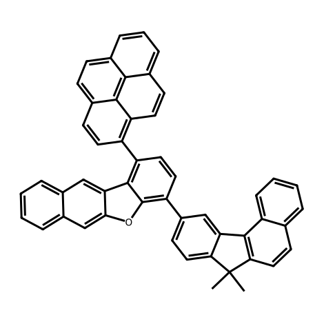 CC1(C)c2ccc(-c3ccc(-c4ccc5ccc6cccc7ccc4c5c67)c4c3oc3cc5ccccc5cc34)cc2-c2c1ccc1ccccc21